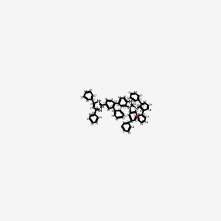 c1ccc(-c2ccc3c(c2)n2c4cc(-c5ccc(-c6nc(-c7ccccc7)cc(-c7ccccc7)n6)cc5-c5ccccc5)ccc4nc2n3-c2c(-c3ccccc3)cccc2-c2ccccc2)cc1